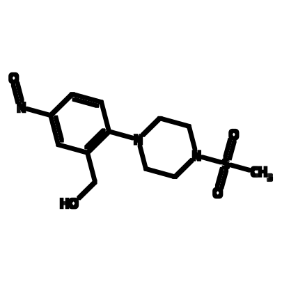 CS(=O)(=O)N1CCN(c2ccc(N=O)cc2CO)CC1